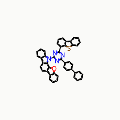 c1ccc(-c2ccc(-c3nc(-c4cccc5c4sc4ccccc45)nc(-n4c5ccccc5c5ccc6c7ccccc7oc6c54)n3)cc2)cc1